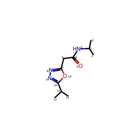 CC(C)NC(=O)Cc1nnc(C(C)C)o1